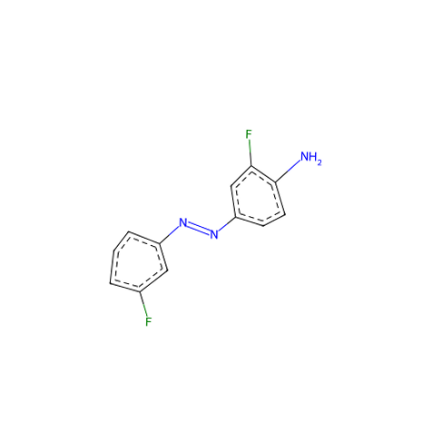 Nc1ccc(/N=N/c2cccc(F)c2)cc1F